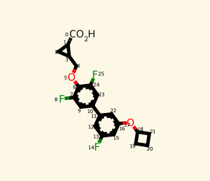 O=C(O)C1CC1COc1c(F)cc(-c2cc(F)cc(OC3CCC3)c2)cc1F